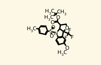 COc1ccc2c(c1)C1(C(F)(F)F)OCC(C(=O)OC(C)(C)C)C1N2S(=O)(=O)c1ccc(C)cc1